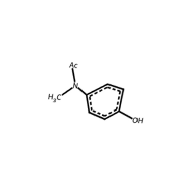 CC(=O)N(C)c1ccc(O)cc1